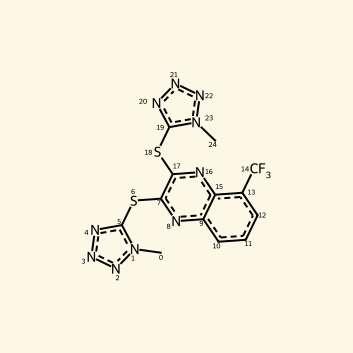 Cn1nnnc1Sc1nc2cccc(C(F)(F)F)c2nc1Sc1nnnn1C